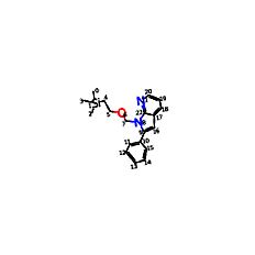 C[Si](C)(C)CCOCn1c(-c2ccccc2)cc2cccnc21